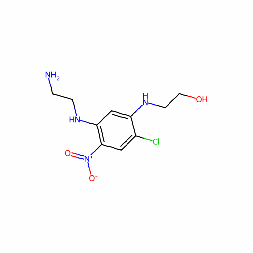 NCCNc1cc(NCCO)c(Cl)cc1[N+](=O)[O-]